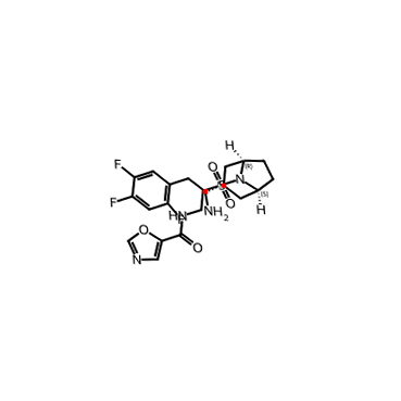 NC(Cc1cc(F)c(F)cc1F)[C@@H]1C[C@H]2CC[C@@H](C1)N2S(=O)(=O)CCNC(=O)c1cnco1